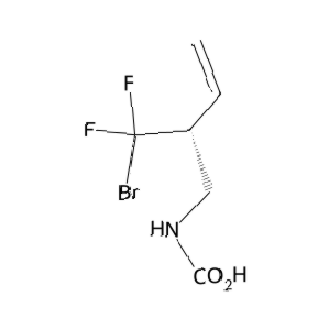 C=C[C@H](CNC(=O)O)C(F)(F)Br